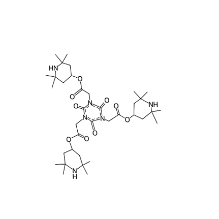 CC1(C)CC(OC(=O)Cn2c(=O)n(CC(=O)OC3CC(C)(C)NC(C)(C)C3)c(=O)n(CC(=O)OC3CC(C)(C)NC(C)(C)C3)c2=O)CC(C)(C)N1